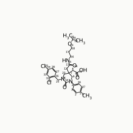 Cc1ccc(N2CC(CC(=O)O)(CC(=O)NCCCOC(C)C)CN(Cc3ccc(Cl)cc3Cl)C2=O)cc1